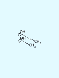 CCCCCCCCCCCCc1ccccc1O.CCCCCCCc1ccccc1O